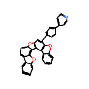 c1ccc2c(c1)oc1c2ccc2oc3cc(-c4ccc(-c5ccncc5)cc4)c4oc5ccccc5c4c3c21